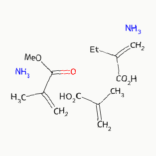 C=C(C)C(=O)O.C=C(C)C(=O)OC.C=C(CC)C(=O)O.N.N